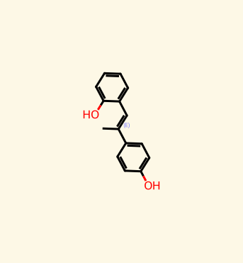 C/C(=C\c1ccccc1O)c1ccc(O)cc1